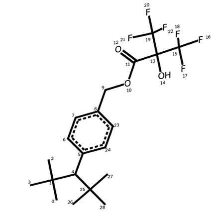 CC(C)(C)C(c1ccc(COC(=O)C(O)(C(F)(F)F)C(F)(F)F)cc1)C(C)(C)C